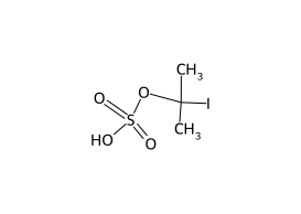 CC(C)(I)OS(=O)(=O)O